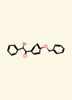 O=C(c1ccc(OCc2ccccc2)cc1)C(Br)c1ccccc1